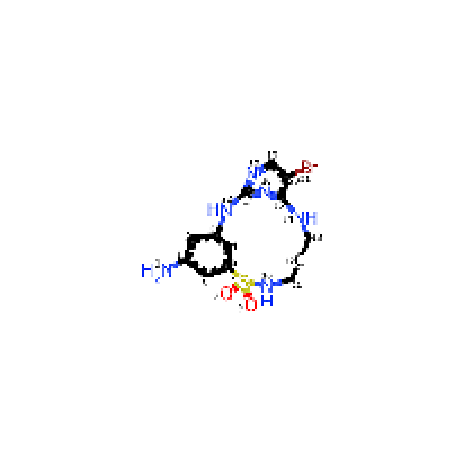 Nc1cc2cc(c1)S(=O)(=O)NCCCNc1nc(ncc1Br)N2